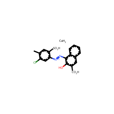 Cc1cc(S(=O)(=O)O)c(/N=N/c2c(O)c(C(=O)O)cc3ccccc23)cc1Cl.[CaH2]